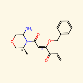 C=CC(=O)/C(=C/C(=O)N1C(N)COC[C@@H]1C)OCc1ccccc1